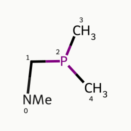 CNCP(C)C